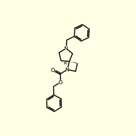 O=C(OCc1ccccc1)N1CC[C@@]12CCN(Cc1ccccc1)C2